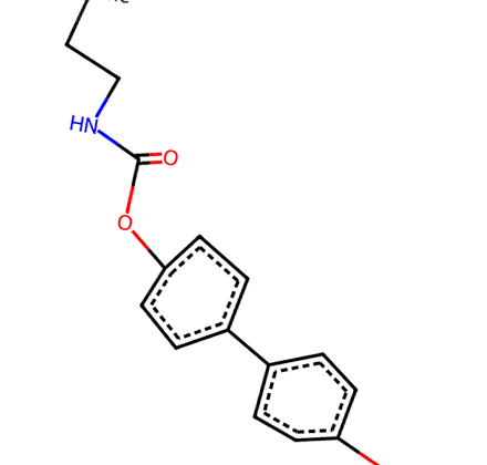 COCCNC(=O)Oc1ccc(-c2ccc(O)cc2)cc1